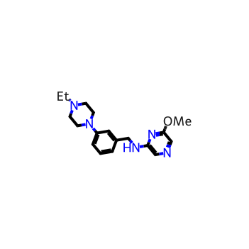 CCN1CCN(c2cccc(CNc3cncc(OC)n3)c2)CC1